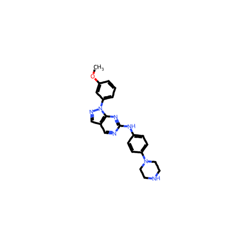 COc1cccc(-n2ncc3cnc(Nc4ccc(N5CCNCC5)cc4)nc32)c1